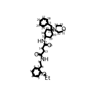 CCOc1ccccc1CCNC(=O)CCC(=O)NC1CCC(Cc2ccccc2)(N2CCOCC2)CC1